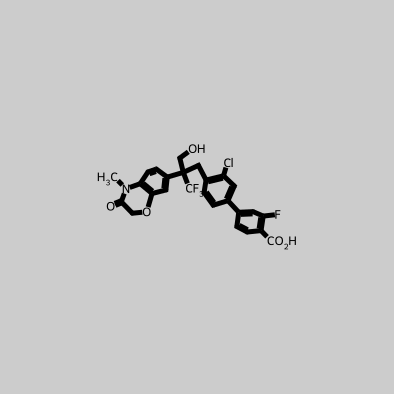 CN1C(=O)COc2cc(C(CO)(Cc3ccc(-c4ccc(C(=O)O)c(F)c4)cc3Cl)C(F)(F)F)ccc21